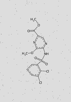 COC(=O)c1cnc(NS(=O)(=O)c2cccc(Cl)c2Cl)c(OC)n1